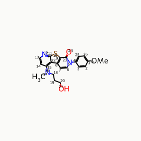 COc1ccc(-n2ccc3c(sc4nccc(N(C)CCCO)c43)c2=O)cc1